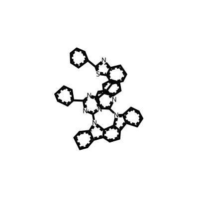 c1ccc(-c2nc(-c3ccccc3)nc(-n3c4ccccc4c4ccc5c6ccccc6n(-c6cccc(-c7cccc8nc(-c9ccccc9)sc78)n6)c5c43)n2)cc1